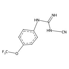 N#CNC(=N)Nc1ccc(OC(F)(F)F)cc1